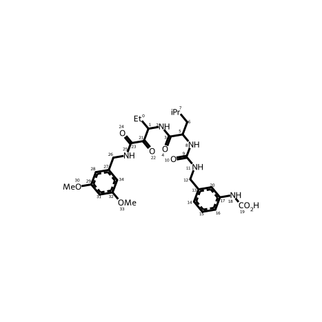 CCC(NC(=O)C(CC(C)C)NC(=O)NCc1cccc(NC(=O)O)c1)C(=O)C(=O)NCc1cc(OC)cc(OC)c1